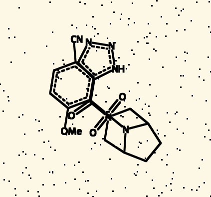 COc1ccc(C#N)cc1S(=O)(=O)N1C2CCC1CN(C(=O)c1cnn[nH]1)C2